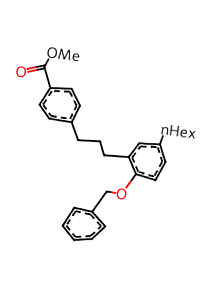 CCCCCCc1ccc(OCc2ccccc2)c(CCCc2ccc(C(=O)OC)cc2)c1